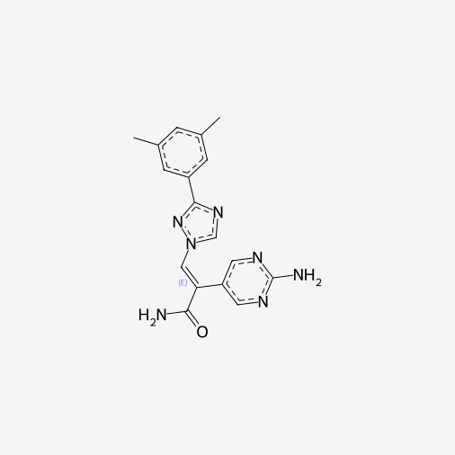 Cc1cc(C)cc(-c2ncn(/C=C(/C(N)=O)c3cnc(N)nc3)n2)c1